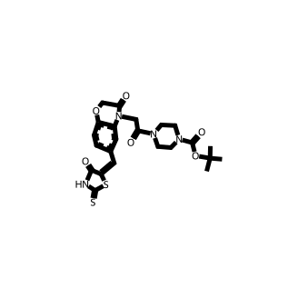 CC(C)(C)OC(=O)N1CCN(C(=O)CN2C(=O)COc3ccc(C=C4SC(=S)NC4=O)cc32)CC1